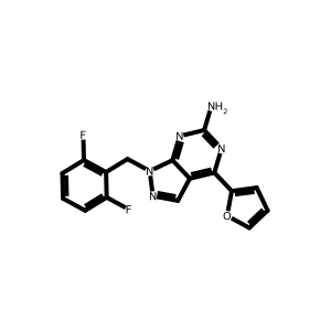 Nc1nc(-c2ccco2)c2cnn(Cc3c(F)cccc3F)c2n1